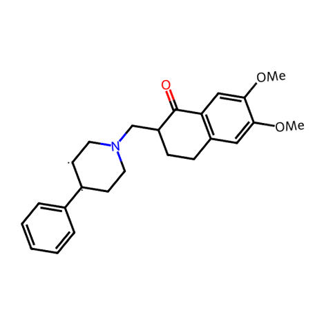 COc1cc2c(cc1OC)C(=O)C(CN1C[CH][C](c3ccccc3)CC1)CC2